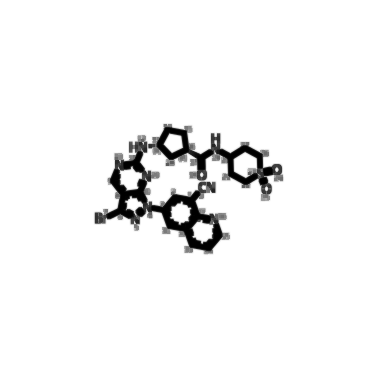 N#Cc1cc(-n2nc(Br)c3cnc(N[C@@H]4CC[C@@H](C(=O)NC5CCS(=O)(=O)CC5)C4)nc32)cc2cccnc12